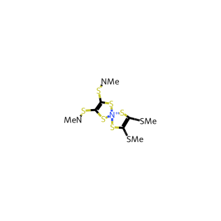 CNSC1=C(SNC)S[N+]2(SC(SC)=C(SC)S2)S1